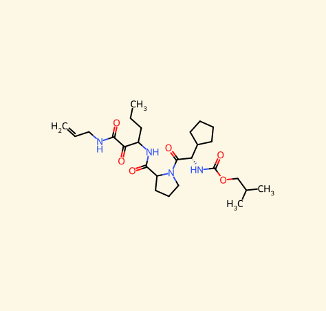 C=CCNC(=O)C(=O)C(CCC)NC(=O)C1CCCN1C(=O)[C@@H](NC(=O)OCC(C)C)C1CCCC1